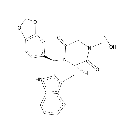 CN1CC(=O)N2[C@H](c3ccc4c(c3)OCO4)c3[nH]c4ccccc4c3C[C@@H]2C1=O.CO